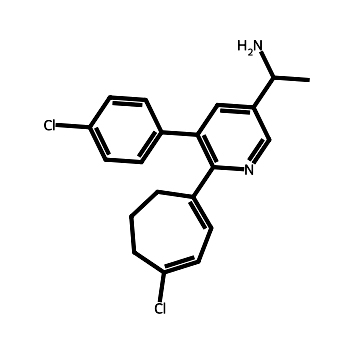 CC(N)c1cnc(C2=CC=C(Cl)CCC2)c(-c2ccc(Cl)cc2)c1